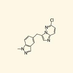 Cn1ncc2cc(Cc3cnc4ccc(Cl)nn34)ccc21